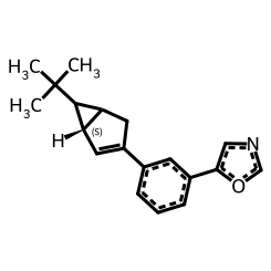 CC(C)(C)C1C2CC(c3cccc(-c4cnco4)c3)=C[C@@H]21